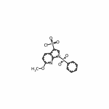 COc1ccc2c(S(=O)(=O)Cl)cn(S(=O)(=O)c3ccccc3)c2n1